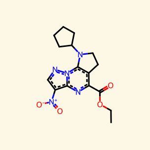 CCOC(=O)c1nc2c([N+](=O)[O-])cnn2c2c1CCN2C1CCCC1